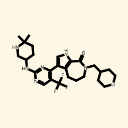 CC1(C)CCC(Nc2ncc(C(F)(F)F)c(-c3c[nH]c4c3CCCN(CC3CCOCC3)C4=O)n2)CN1